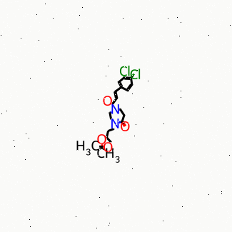 CC1(C)OCC(CCN2CCN(C(=O)C=Cc3ccc(Cl)c(Cl)c3)CCC2=O)O1